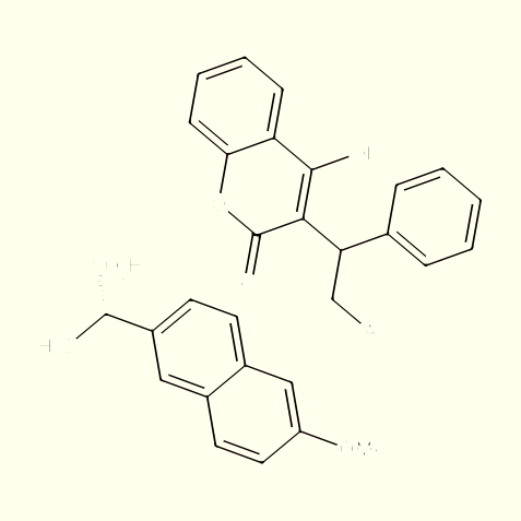 CC(=O)CC(c1ccccc1)c1c(O)c2ccccc2oc1=O.COc1ccc2cc([C@H](C)C(=O)O)ccc2c1